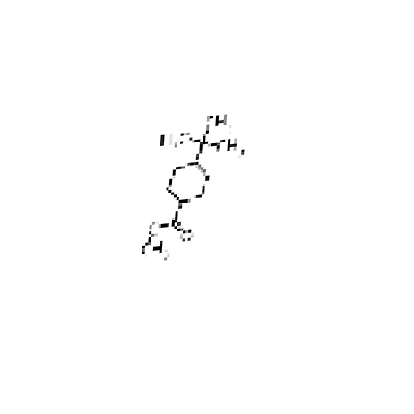 COC(=O)[C@H]1CC[C@@H](C(C)(C)C)CC1